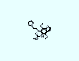 CNC(=O)Nc1c(OCCN2CCCC2)c(OC)c2occc2c1OC